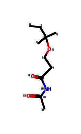 CCC(C)(C)OCCC(=O)NC(C)=O